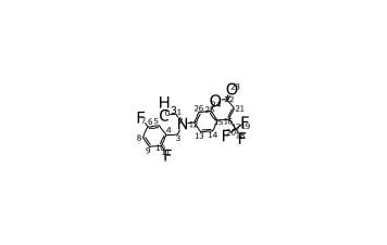 CCN(Cc1cc(F)ccc1F)c1ccc2c(C(F)(F)F)cc(=O)oc2c1